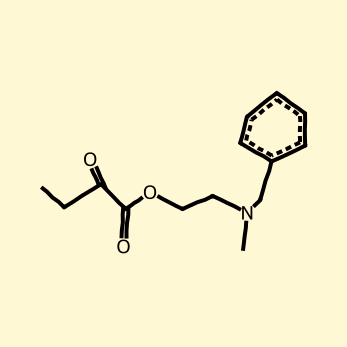 CCC(=O)C(=O)OCCN(C)Cc1ccccc1